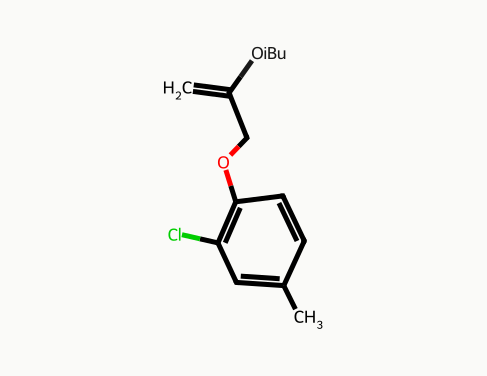 C=C(COc1ccc(C)cc1Cl)OCC(C)C